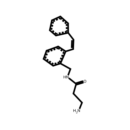 NCCC(=O)NCc1ccccc1/C=C\c1ccccc1